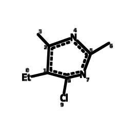 CCc1c(C)nc(C)nc1Cl